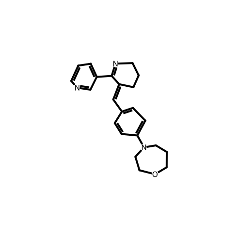 C(=C1CCCN=C1c1cccnc1)c1ccc(N2CCCOCC2)cc1